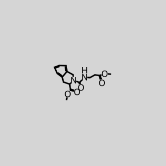 COC(=O)CCNC(=O)N1Cc2ccccc2CC1C(=O)OC